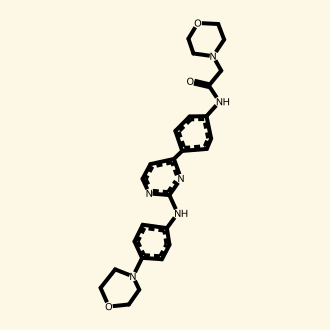 O=C(CN1CCOCC1)Nc1ccc(-c2ccnc(Nc3ccc(N4CCOCC4)cc3)n2)cc1